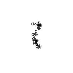 CNC(=O)COc1cc2cc(Nc3nc(N4CCC(C(=O)NCCCOCCCNC(=O)C[C@@H]5N=C(c6ccc(Cl)cc6)c6c(sc(C)c6C)-n6c(C)nnc65)CC4)ncc3Cl)cc(OC)c2n(C)c1=O